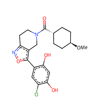 CO[C@H]1CC[C@H](C(=O)N2CCc3noc(-c4cc(Cl)c(O)cc4O)c3C2)CC1